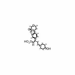 O=C(O)N[C@H](CCN1CCC(O)CC1)c1ccc(N2CCOCS2(=O)=O)nc1